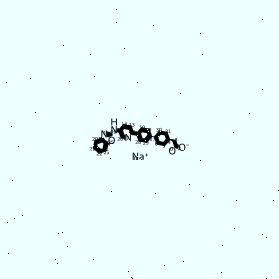 O=C([O-])C[C@H]1CC[C@H](c2ccc(-c3ccc(Nc4nc5ccccc5o4)cn3)cc2)CC1.[Na+]